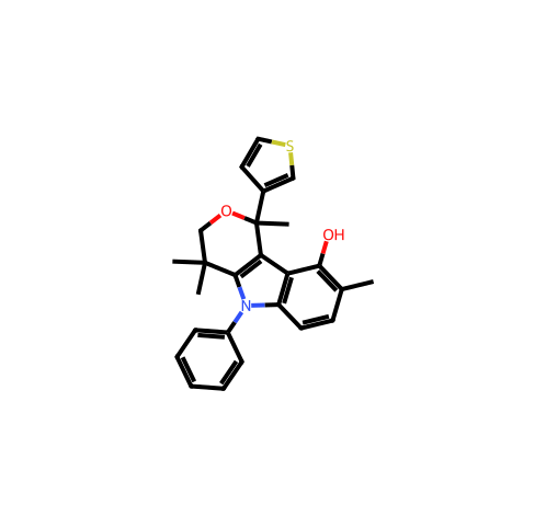 Cc1ccc2c(c1O)c1c(n2-c2ccccc2)C(C)(C)COC1(C)c1ccsc1